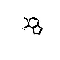 Cn1cnc2ccsc2c1=O